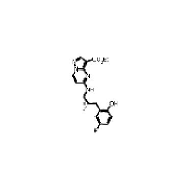 CCOC(=O)c1cnn2ccc(NC[C@@H](C)Cc3cc(F)ccc3O)nc12